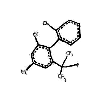 CCc1[c]c(CC)c(-c2ccccc2Cl)c(C(F)(C(F)(F)F)C(F)(F)F)c1